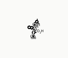 Cc1cc(C)c(NC(=O)Nc2cc3ccccc3cc2C(=O)N2CCN(C(=O)OC(C)(C)C)C[C@@]2(C)C(=O)O)c(C)c1